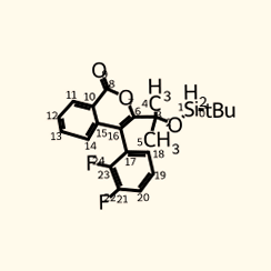 CC(C)(C)[SiH2]OC(C)(C)c1oc(=O)c2ccccc2c1-c1cccc(F)c1F